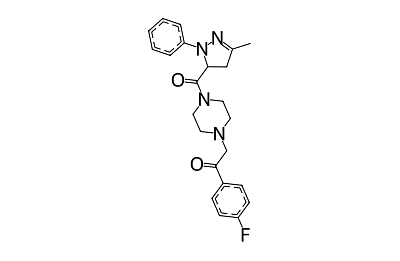 CC1=NN(c2ccccc2)C(C(=O)N2CCN(CC(=O)c3ccc(F)cc3)CC2)C1